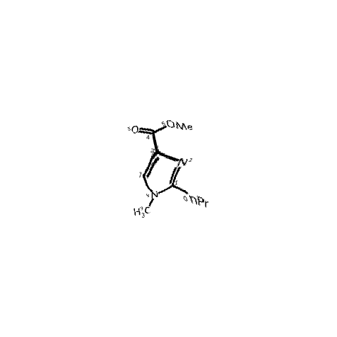 CCCc1nc(C(=O)OC)cn1C